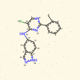 Cc1ccccc1-c1ncc(F)c(Nc2ccc3[nH]ncc3c2)n1